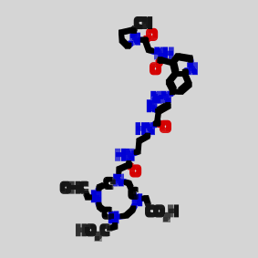 N#CC1CCCN1C(=O)CNC(=O)c1ccnc2ccc(-n3cc(C(=O)NCCCNC(=O)CN4CCN(CC=O)CCN(CC(=O)O)CCN(CC(=O)O)CC4)nn3)cc12